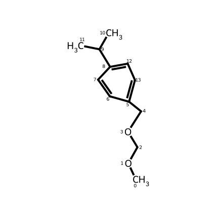 COCOCc1ccc(C(C)C)cc1